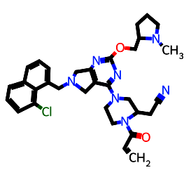 C=CC(=O)N1CCN(c2nc(OCC3CCCN3C)nc3c2CN(Cc2cccc4cccc(Cl)c24)C3)CC1CC#N